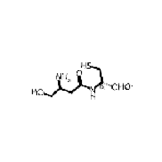 NC(CO)CC(=O)N[C@@H]([C]=O)CS